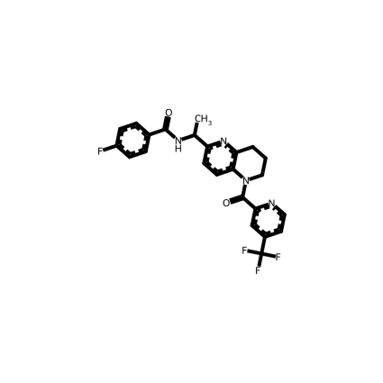 CC(NC(=O)c1ccc(F)cc1)c1ccc2c(n1)CCCN2C(=O)c1cc(C(F)(F)F)ccn1